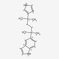 CC(C)(CCC(C)(C)c1c[nH]cn1)c1ccc2[nH]ccc2c1